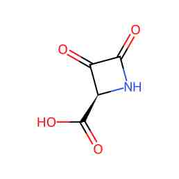 O=C1N[C@@H](C(=O)O)C1=O